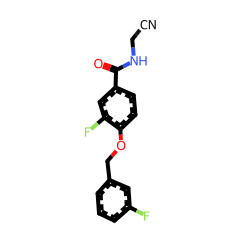 N#CCNC(=O)c1ccc(OCc2cccc(F)c2)c(F)c1